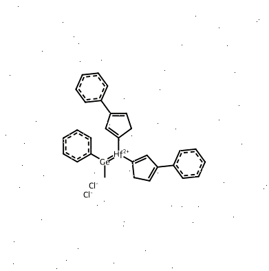 [CH3][Ge]([c]1ccccc1)=[Hf+2]([C]1=CC(c2ccccc2)=CC1)[C]1=CC(c2ccccc2)=CC1.[Cl-].[Cl-]